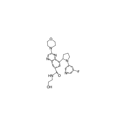 O=C(NCCO)c1cc(C2CCCN2c2cncc(F)c2)c2nc(N3CCOCC3)cnc2c1